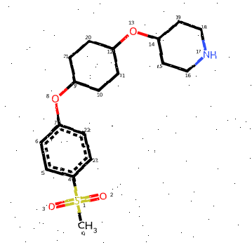 CS(=O)(=O)c1ccc(OC2CCC(OC3CCNCC3)CC2)cc1